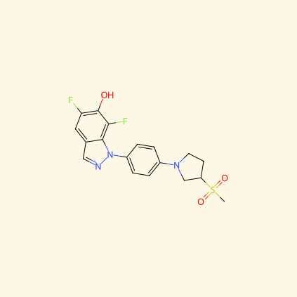 CS(=O)(=O)C1CCN(c2ccc(-n3ncc4cc(F)c(O)c(F)c43)cc2)C1